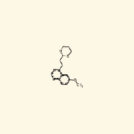 COc1ccc2nccc(CCC3OCCCO3)c2c1